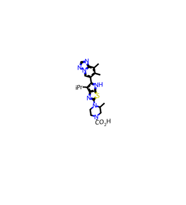 Cc1c(-c2[nH]c3sc(N4CCN(C(=O)O)CC4C)nc3c2C(C)C)cn2ncnc2c1C